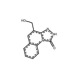 O=c1[nH]nc2c(CO)cc3ccccc3n12